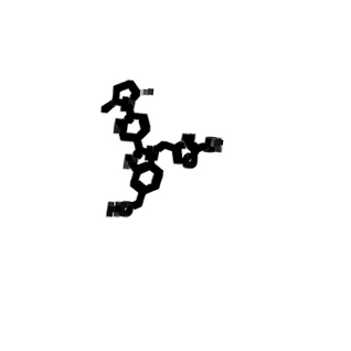 CCc1nc(Cn2c(-c3ccc(N4[C@@H](C)CC[C@@H]4C)nc3)nc3cc(CO)ccc32)co1